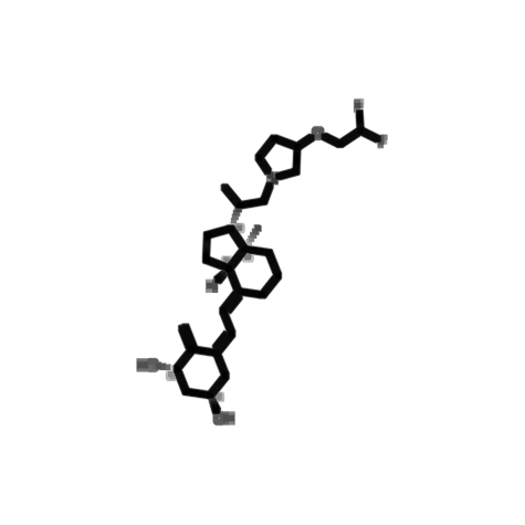 C=C1C(=CC=C2CCC[C@]3(C)[C@@H](C(C)CN4CCC(OCC(F)F)C4)CC[C@@H]23)C[C@@H](O)C[C@@H]1O